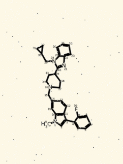 Cn1cc(-c2ccccc2F)c2ccc(CN3CCC(c4nc5ccccc5n4CC4CC4)CC3)cc21